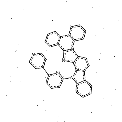 c1cc(-c2ccncc2)nc(-n2c3ccccc3c3ccc4c(nc5c6ccccc6c6ccccc6n45)c32)c1